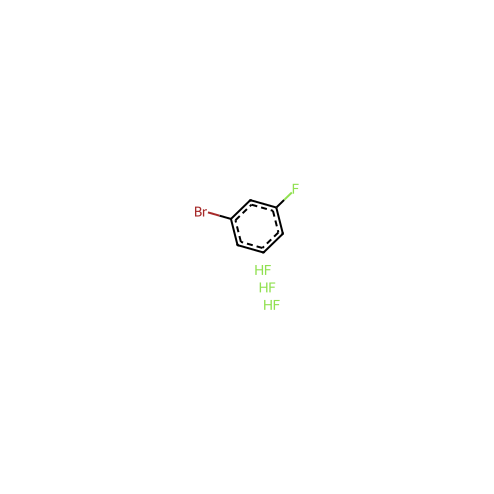 F.F.F.Fc1cccc(Br)c1